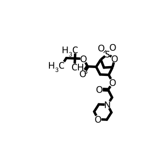 CCC(C)(C)OC(=O)C1CC(OC(=O)CN2CCOCC2)C2CC1S(=O)(=O)O2